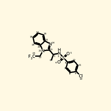 CC(NS(=O)(=O)c1ccc(Cl)cc1)c1nc2ccccc2n1CC(F)(F)F